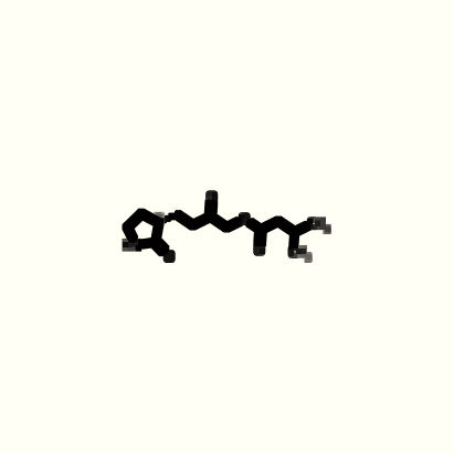 CC(C)CC(=O)OCC(=O)CC[C@H]1CCNC1=O